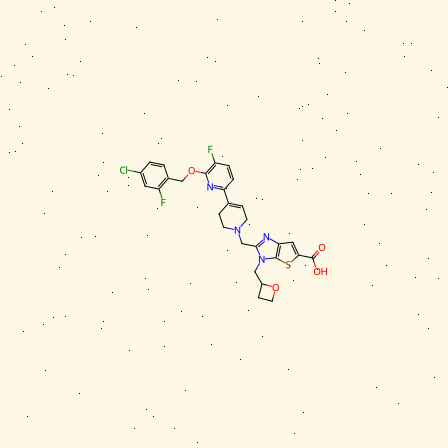 O=C(O)c1cc2nc(CN3CC=C(c4ccc(F)c(OCc5ccc(Cl)cc5F)n4)CC3)n(CC3CCO3)c2s1